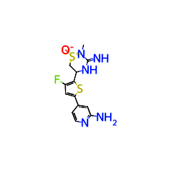 CN1C(=N)NC(c2sc(-c3ccnc(N)c3)cc2F)C[S+]1[O-]